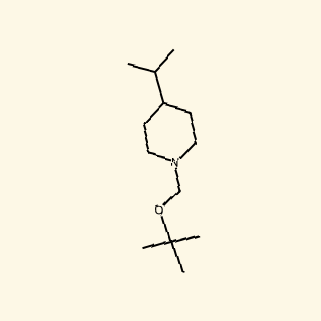 CC(C)C1CCN(COC(C)(C)C)CC1